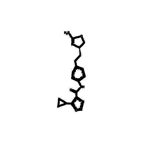 NC1=N[C@@H](CCc2ccc(NC(=O)c3ncoc3C3CC3)cc2)CO1